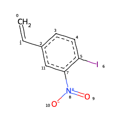 C=[C]c1ccc(I)c([N+](=O)[O-])c1